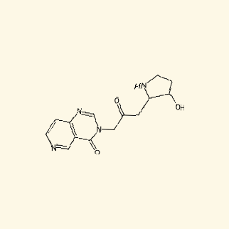 O=C(CC1NCCC1O)Cn1cnc2ccncc2c1=O